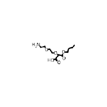 CCCCOC(=O)C(OCCOCCN)C(=O)O